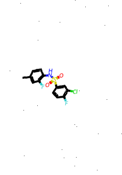 Cc1ccc(NS(=O)(=O)c2ccc(F)c(Cl)c2)c(F)c1